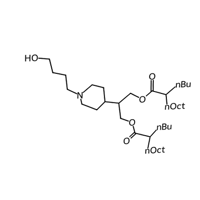 CCCCCCCCC(CCCC)C(=O)OCC(COC(=O)C(CCCC)CCCCCCCC)C1CCN(CCCCO)CC1